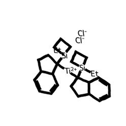 CC[Si]1([C]2([Ti+2][C]3([Si]4(CC)CCC4)CCC4C=CC=CC43)CCC3C=CC=CC32)CCC1.[Cl-].[Cl-]